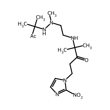 CC(=O)C(C)(C)NN(C)CCNC(C)(C)C(=O)CCn1ccnc1[N+](=O)[O-]